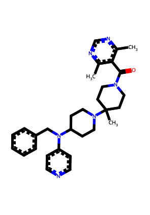 Cc1ncnc(C)c1C(=O)N1CCC(C)(N2CCC(N(Cc3ccccc3)c3ccncc3)CC2)CC1